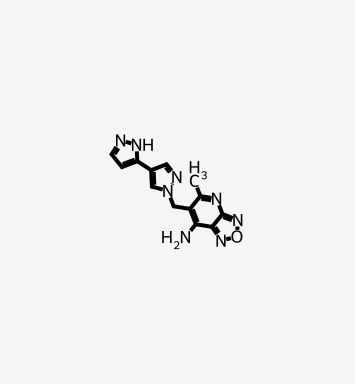 Cc1nc2nonc2c(N)c1Cn1cc(-c2ccn[nH]2)cn1